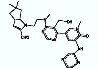 CN(CCN1C(C=O)=CC2CC(C)(C)CC21)c1nccc(-c2cc(Nc3cnccn3)c(=O)n(C)c2)c1CO